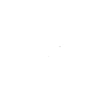 F[CH]CBr